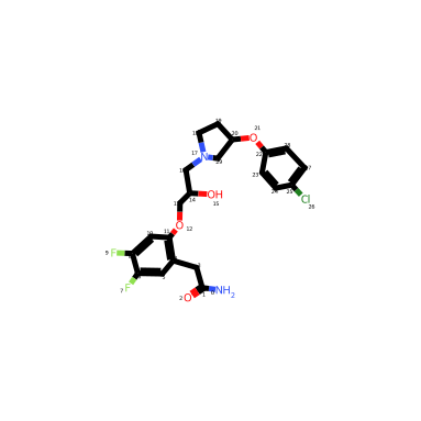 NC(=O)Cc1cc(F)c(F)cc1OCC(O)CN1CCC(Oc2ccc(Cl)cc2)C1